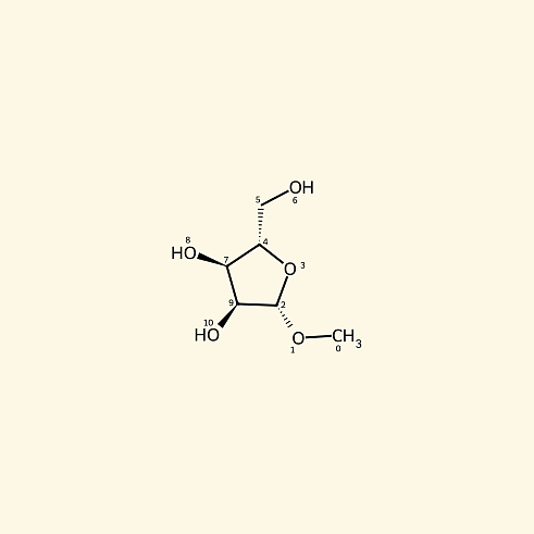 CO[C@H]1O[C@@H](CO)[C@H](O)[C@@H]1O